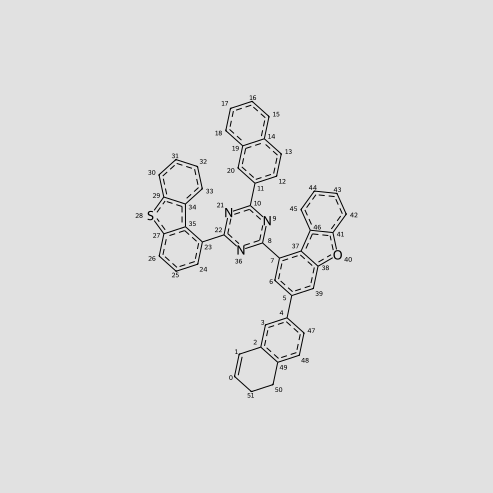 C1=Cc2cc(-c3cc(-c4nc(-c5ccc6ccccc6c5)nc(-c5cccc6sc7ccccc7c56)n4)c4c(c3)oc3ccccc34)ccc2CC1